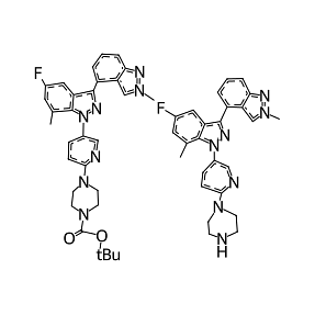 Cc1cc(F)cc2c(-c3cccc4nn(C)cc34)nn(-c3ccc(N4CCN(C(=O)OC(C)(C)C)CC4)nc3)c12.Cc1cc(F)cc2c(-c3cccc4nn(C)cc34)nn(-c3ccc(N4CCNCC4)nc3)c12